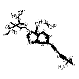 CC(CCn1cnc2cc(C#CC#CC3(N)CC3)ccc2c1=O)(C(=O)NO)S(C)(=O)=O.O=CO